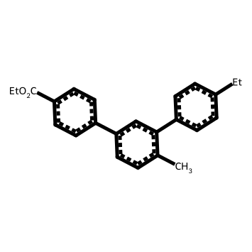 CCOC(=O)c1ccc(-c2ccc(C)c(-c3ccc(CC)cc3)c2)cc1